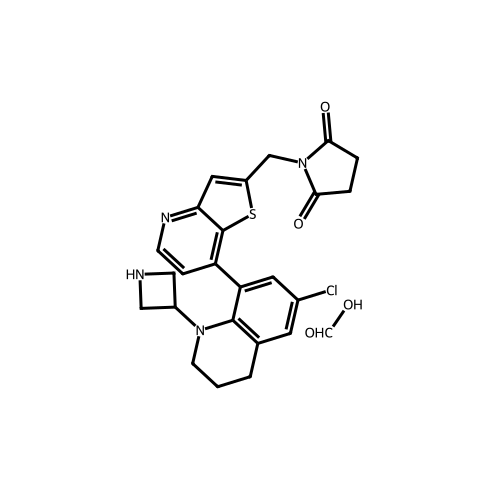 O=C1CCC(=O)N1Cc1cc2nccc(-c3cc(Cl)cc4c3N(C3CNC3)CCC4)c2s1.O=CO